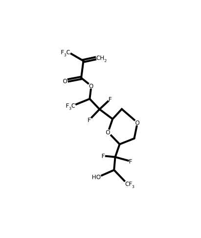 C=C(C(=O)OC(C(F)(F)F)C(F)(F)C1COCC(C(F)(F)C(O)C(F)(F)F)O1)C(F)(F)F